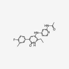 CCc1[nH]c(=O)c(-c2ccc(F)c(C)c2)cc1Nc1ccnc(NC(C)=O)c1